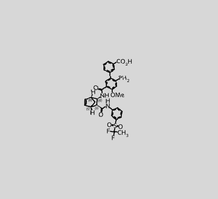 COc1cc(P)c(-c2cccc(C(=O)O)c2)cc1C(=O)N[C@H]1[C@@H](C(=O)Nc2cccc(S(=O)(=O)C(C)(F)F)c2)[C@@H]2C=C[C@H]1C2